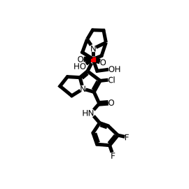 O=C(Nc1ccc(F)c(F)c1)c1c(Cl)c(S(=O)(=O)N2C3CCC2CC(O)(CO)C3)c2n1CCC2